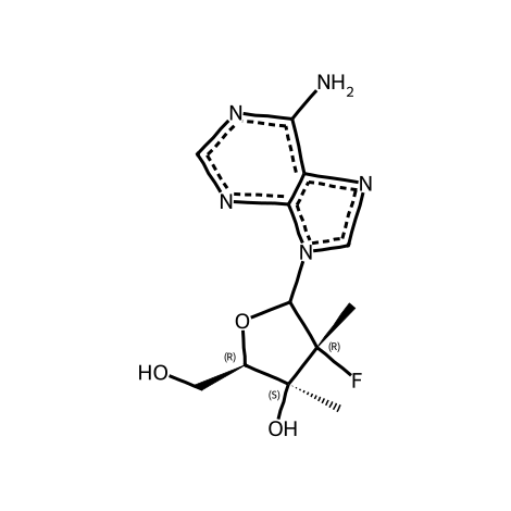 C[C@]1(F)C(n2cnc3c(N)ncnc32)O[C@H](CO)[C@]1(C)O